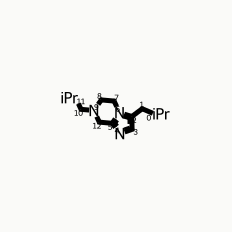 CC(C)Cc1cnc2n1CCN(CC(C)C)C2